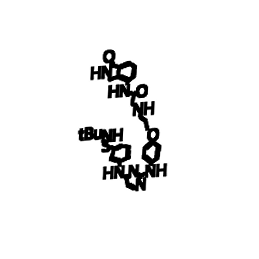 CC(C)(C)NSc1cccc(Nc2ccnc(Nc3ccc(OCCCNCC(=O)Nc4cccc5c4CNC5=O)cc3)n2)c1